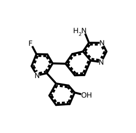 Nc1ncnc2ccc(-c3cc(F)cnc3-c3cccc(O)c3)cc12